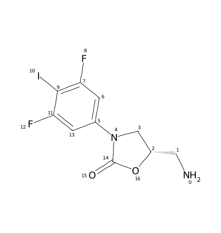 NC[C@H]1CN(c2cc(F)c(I)c(F)c2)C(=O)O1